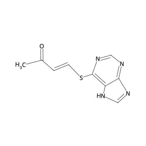 CC(=O)C=CSc1ncnc2nc[nH]c12